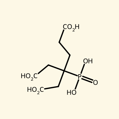 O=C(O)CCC(CC(=O)O)(CC(=O)O)P(=O)(O)O